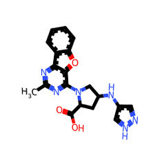 Cc1nc(N2CC(Nc3cn[nH]c3)CC2C(=O)O)c2oc3ccccc3c2n1